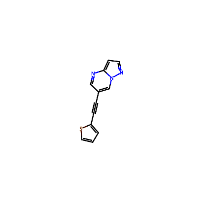 C(#Cc1cccs1)c1cnc2ccnn2c1